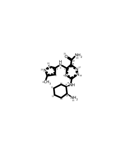 Cc1cc(Nc2nc(N[C@@H]3CCCC[C@@H]3N)nnc2C(N)=O)sn1